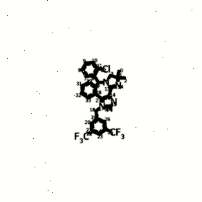 CC1(C)CN(Cc2ccccc2Cl)C(c2nnn(Cc3cc(C(F)(F)F)cc(C(F)(F)F)c3)c2-c2ccccc2)=N1